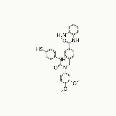 COc1ccc(N(Cc2ccc(C(=O)Nc3ccccc3N)cc2)C(=O)Nc2ccc(S)cc2)cc1OC